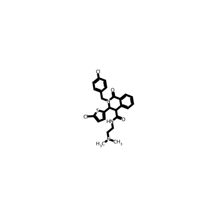 CN(C)CCNC(=O)C1c2ccccc2C(=O)N(Cc2ccc(Cl)cc2)C1c1ccc(Cl)s1